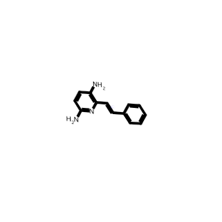 Nc1ccc(N)c(/C=C/c2ccccc2)n1